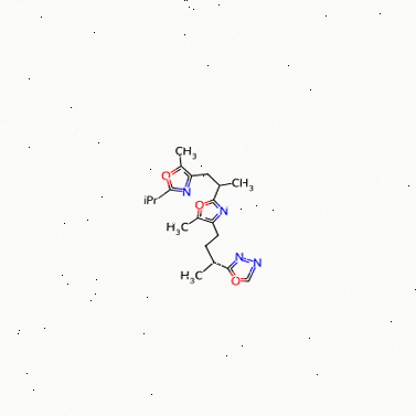 Cc1oc(C(C)C)nc1CC(C)c1nc(CCC(C)c2nnco2)c(C)o1